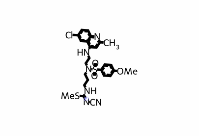 COc1ccc(S(=O)(=O)N(CCCN/C(=N\C#N)SC)CCNc2cc(C)nc3ccc(Cl)cc23)cc1